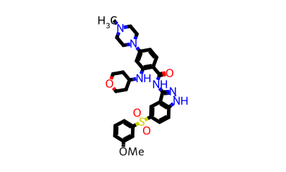 COc1cccc(S(=O)(=O)c2ccc3[nH]nc(NC(=O)c4ccc(N5CCN(C)CC5)cc4NC4CCOCC4)c3c2)c1